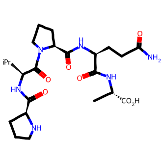 CC(C)[C@H](NC(=O)[C@@H]1CCCN1)C(=O)N1CCC[C@H]1C(=O)N[C@@H](CCC(N)=O)C(=O)N[C@@H](C)C(=O)O